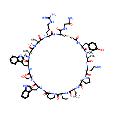 CCCC[C@H]1C(=O)N(C)[C@@H](CCCC)C(=O)N[C@@H](CCCNC(=N)N)C(=O)N[C@H](C(=O)NCC(N)=O)CSCC(=O)N[C@@H](Cc2ccc(O)cc2)C(=O)N(C)[C@@H](C)C(=O)N[C@@H](CCN)C(=O)N2CCC[C@H]2C(=O)N[C@@H](CC(=O)O)C(=O)N[C@@H](CC(C)C)C(=O)N2CCC[C@H]2C(=O)N[C@@H](Cc2c[nH]c3ccccc23)C(=O)N[C@@H](CO)C(=O)N[C@@H](Cc2c[nH]c3ccccc23)C(=O)N1C